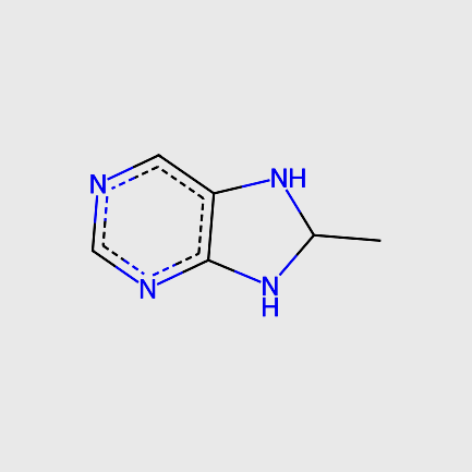 CC1Nc2cncnc2N1